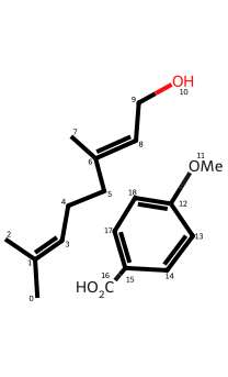 CC(C)=CCC/C(C)=C/CO.COc1ccc(C(=O)O)cc1